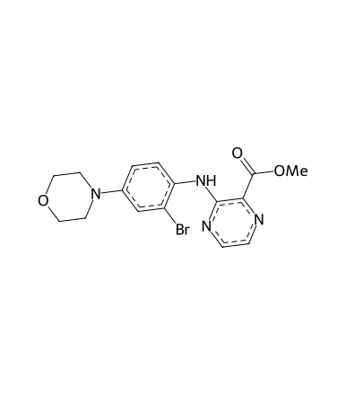 COC(=O)c1nccnc1Nc1ccc(N2CCOCC2)cc1Br